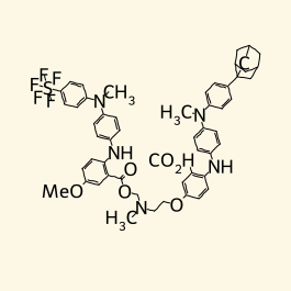 COc1ccc(Nc2ccc(N(C)c3ccc(S(F)(F)(F)(F)F)cc3)cc2)c(C(=O)OCN(C)CCOc2ccc(Nc3ccc(N(C)c4ccc(C56CC7CC(CC5C7)C6)cc4)cc3)c(C(=O)O)c2)c1